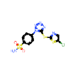 NS(=O)(=O)c1ccc(-n2nnnc2Sc2ncc(Cl)s2)cc1